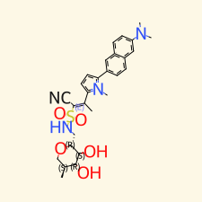 C/C(=C(/C#N)S(=O)(=O)NC[C@H]1OC[C@H](C)[C@@H](O)[C@@H]1O)c1ccc(-c2ccc3cc(N(C)C)ccc3c2)n1C